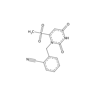 CS(=O)(=O)c1cc(=O)[nH]c(=O)n1Cc1ccccc1C#N